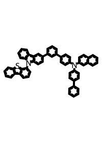 c1ccc(-c2ccc(N(c3ccc(-c4cccc(-c5ccc6c(c5)c5ccccc5n6-c5cccc6c5sc5ccccc56)c4)cc3)c3ccc4ccccc4c3)cc2)cc1